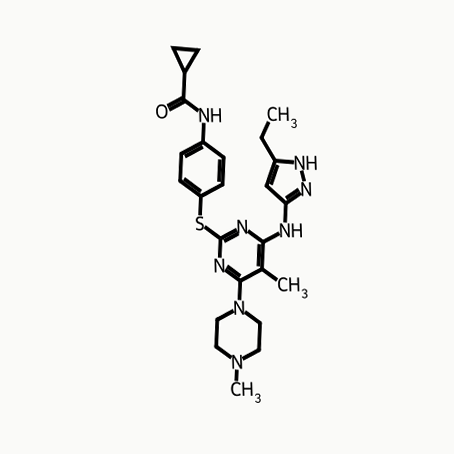 CCc1cc(Nc2nc(Sc3ccc(NC(=O)C4CC4)cc3)nc(N3CCN(C)CC3)c2C)n[nH]1